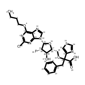 CCCCOc1nc(Cl)nc2c1ncn2[C@@H]1O[C@H](COC(Cc2ccccc2)(C(=O)O)c2cscn2)[C@@H](O)[C@@H]1F